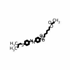 C=CC(=O)OCCCCCCS(=O)(=O)c1ccc(/N=N/c2ccc(SC[C@H](C)CC)cc2)cc1